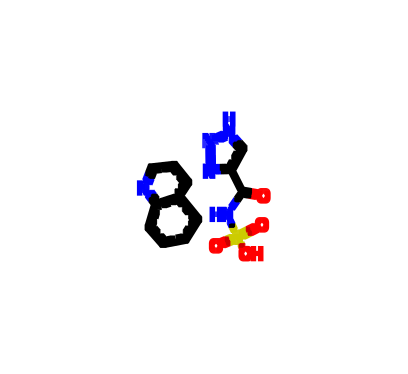 O=C(NS(=O)(=O)O)c1c[nH]nn1.c1ccc2ncccc2c1